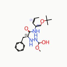 C/C=C\C(=C/OC(C)(C)C)NC(=O)[C@H](Cc1ccccc1)NNC(O)OC